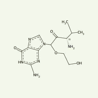 CC(C)[C@H](N)C(=O)C(OCCO)n1cnc2c(=O)[nH]c(N)nc21